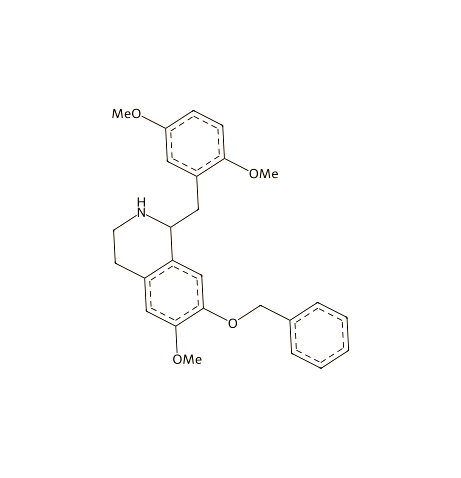 COc1ccc(OC)c(CC2NCCc3cc(OC)c(OCc4ccccc4)cc32)c1